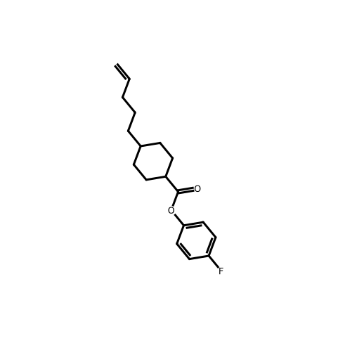 C=CCCCC1CCC(C(=O)Oc2ccc(F)cc2)CC1